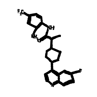 CC(C(=O)Nc1ccc(C(F)(F)F)cc1N)C1CCC(c2ccnc3ccc(F)cc23)CC1